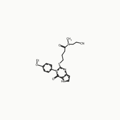 CCOc1ccc(-n2c(SCCCC(=O)N(C)CCC#N)nc3cc[nH]c3c2=O)cc1